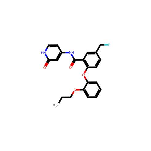 CCCOc1ccccc1Oc1ccc(CF)cc1C(=O)Nc1cc[nH]c(=O)c1